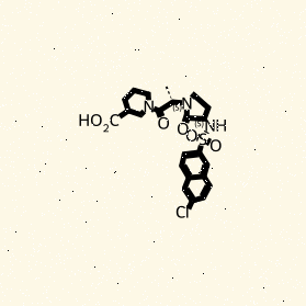 C[C@@H](C(=O)N1CCCC(C(=O)O)C1)N1CC[C@H](NS(=O)(=O)c2ccc3cc(Cl)ccc3c2)C1=O